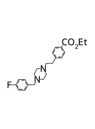 CCOC(=O)c1ccc(CCN2CCN(Cc3ccc(F)cc3)CC2)cc1